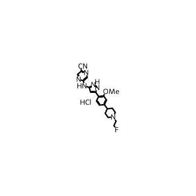 COc1cc(C2CCN(CCF)CC2)ccc1-c1cc(Nc2cnc(C#N)cn2)n[nH]1.Cl